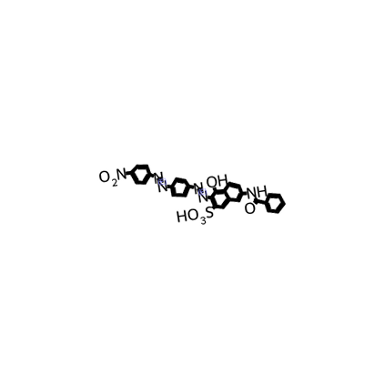 O=C(Nc1ccc2c(O)c(/N=N/c3ccc(/N=N/c4ccc([N+](=O)[O-])cc4)cc3)c(S(=O)(=O)O)cc2c1)c1ccccc1